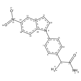 CC(C(N)=O)c1ccc(-n2ccc3cc([N+](=O)[O-])ccc32)cc1